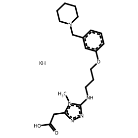 Cn1c(CC(=O)O)nnc1NCCCOc1cccc(CN2CCCCC2)c1.[KH]